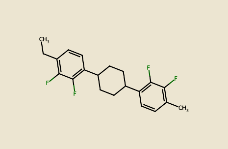 CCc1ccc(C2CCC(c3ccc(C)c(F)c3F)CC2)c(F)c1F